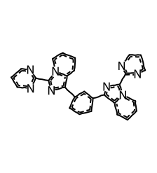 c1cnc(-c2nc(-c3cccc(-c4nc(-c5ncccn5)n5ccccc45)c3)c3ccccn23)nc1